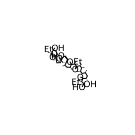 CC[C@@H](C(O)O)C1OC([C@@H](C)[C@H](C)[C@H](C)C(=O)[C@H](CC)C2O[C@]3(C=C[C@@H](O)[C@]4(CC[C@@](C)(C5CC[C@](O)(CC)[C@H](C)O5)O4)C3)[C@H](C)C[C@@H]2C)[C@@H](C)C[C@@H]1C